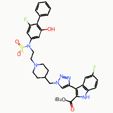 CC(C)COC(=O)c1[nH]c2ccc(F)cc2c1-c1cn(CC2CCN(CCN(c3cc(O)c(-c4ccccc4)c(F)c3)[SH](=O)=O)CC2)nn1